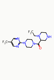 O=C(C1CNCCN1CC(F)(F)F)N1CCN(c2ncc(C(F)(F)F)cn2)CC1